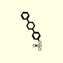 O=[SH](=O)Oc1ccc(C2CCC(c3ccccc3)CC2)cc1